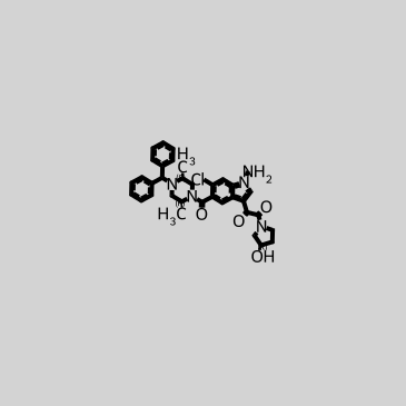 C[C@@H]1CN(C(c2ccccc2)c2ccccc2)[C@@H](C)CN1C(=O)c1cc2c(C(=O)C(=O)N3CC[C@@H](O)C3)cn(N)c2cc1Cl